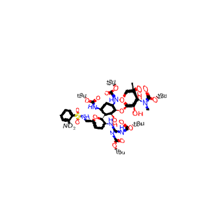 CN(C(=O)OC(C)(C)C)[C@@H]1[C@@H](O)[C@@H](O[C@H]2[C@H](NC(=O)OC(C)(C)C)C[C@H](NC(=O)OC(C)(C)C)C([C@H]3OC(CNS(=O)(=O)c4ccccc4[N+](=O)[O-])=CC[C@H]3N/C(=N/C(=O)OC(C)(C)C)NC(=O)OC(C)(C)C)[C@@H]2O)OC[C@]1(C)O